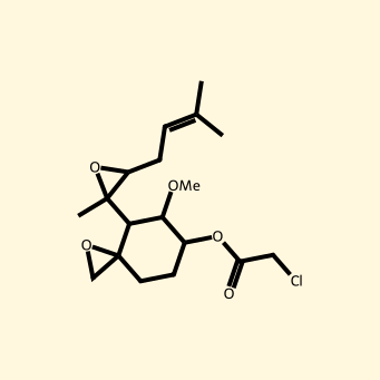 COC1C(OC(=O)CCl)CCC2(CO2)C1C1(C)OC1CC=C(C)C